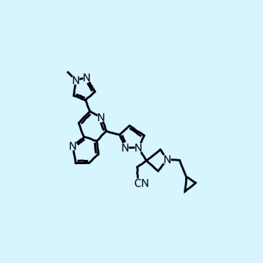 Cn1cc(-c2cc3ncccc3c(-c3ccn(C4(CC#N)CN(CC5CC5)C4)n3)n2)cn1